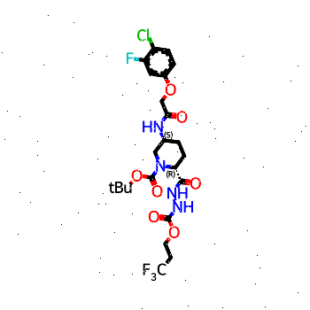 CC(C)(C)OC(=O)N1C[C@@H](NC(=O)COc2ccc(Cl)c(F)c2)CC[C@@H]1C(=O)NNC(=O)OCCC(F)(F)F